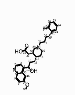 COc1ccc2nccc(C(O)CC[C@@H]3CCN(CCCSc4ccccc4F)C[C@@H]3CC(=O)O)c2c1